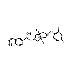 O[C@@H](CN1C[C@@H]2C[C@@H](Oc3ccc(F)cc3F)C[C@]2(O)C1)c1ccc2[nH]ncc2c1